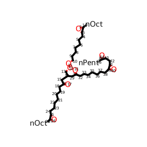 CCCCCCCCC1OC1CCCCCCCOOCC(CC(=O)CCCCCCCC1OC1CCCCCCCC)CC(=O)CCCCCCCC1OC1CC1OC1CCCCC